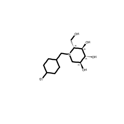 CCC1CCC(CN2C[C@H](O)[C@@H](O)[C@H](O)[C@H]2CO)CC1